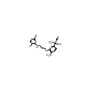 CC(C)(C#N)c1ccc(N)c(OCCCNc2nc(Cl)ncc2Cl)n1